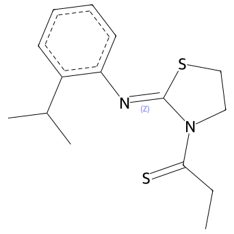 CCC(=S)N1CCS/C1=N\c1ccccc1C(C)C